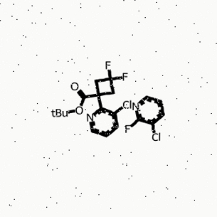 CC(C)(C)OC(=O)C1(c2ncccc2Cl)CC(F)(F)C1.Fc1ncccc1Cl